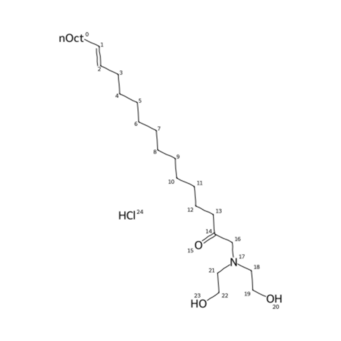 CCCCCCCCC=CCCCCCCCCCCCC(=O)CN(CCO)CCO.Cl